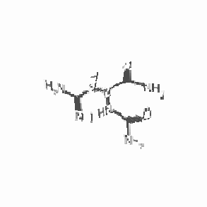 N=C(N)NN(NC(N)=O)C(N)=O